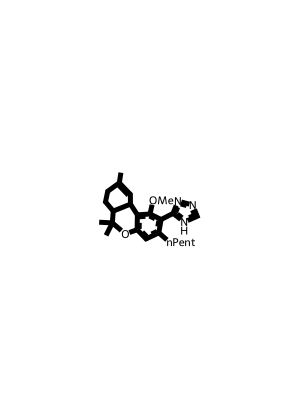 CCCCCc1cc2c(c(OC)c1-c1nnc[nH]1)C1C=C(C)CCC1C(C)(C)O2